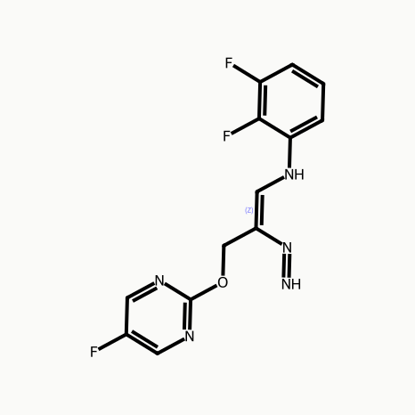 N=N/C(=C\Nc1cccc(F)c1F)COc1ncc(F)cn1